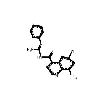 Cc1cc(Cl)cc2c(C(=O)NC(N)=Nc3ccccc3)ccnc12